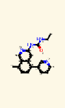 CCNC(=O)Nc1cc2c(-c3cccnc3)ccc(C)c2cn1